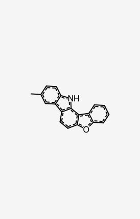 Cc1ccc2[nH]c3c(ccc4oc5ccccc5c43)c2c1